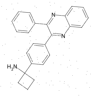 NC1(c2ccc(-c3nc4ccccc4nc3-c3ccccc3)cc2)CCC1